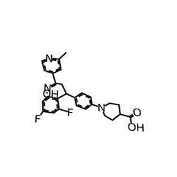 Cc1cc(/C(CC(c2ccc(N3CCC(C(=O)O)CC3)cc2)c2ccc(F)cc2F)=N/O)ccn1